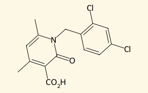 Cc1cc(C)n(Cc2ccc(Cl)cc2Cl)c(=O)c1C(=O)O